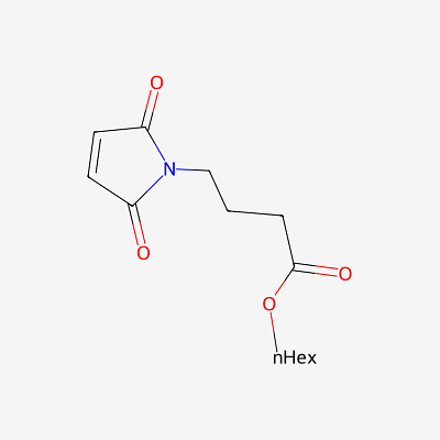 CCCCCCOC(=O)CCCN1C(=O)C=CC1=O